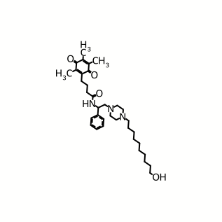 CC1=C(C)C(=O)C(CCCC(=O)NC(CN2CCN(CCCCCCCCCCO)CC2)c2ccccc2)=C(C)C1=O